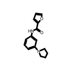 O=C(Nc1cccc(N2CCCC2)c1)c1ccco1